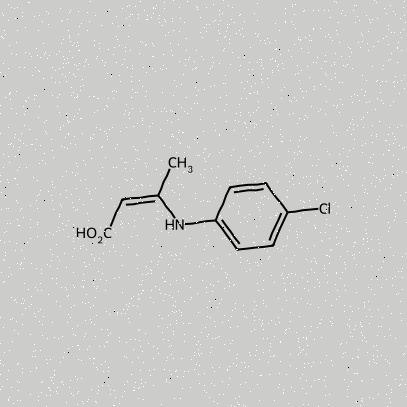 C/C(=C/C(=O)O)Nc1ccc(Cl)cc1